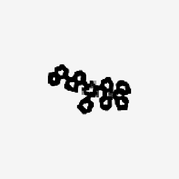 c1ccc(-c2nc(-c3cccc4c3-c3ccccc3[Si]4(c3ccccc3)c3ccccc3)nc(-c3cccc4c(-c5cccc6ccccc56)cccc34)n2)cc1